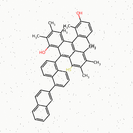 Cc1ccc(O)c(C)c1-c1c2c(C)c(C)c(C)c(O)c2c(-c2cccc3c(-c4ccc5ccccc5c4)cccc23)c2c(S)c(C)c(C)c(C)c12